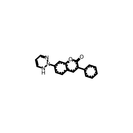 O=c1oc2cc(N3N=CC=CN3)ccc2cc1-c1ccccc1